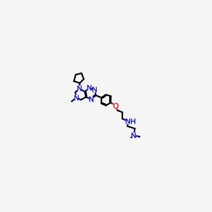 CN(C)CCNCCCOc1ccc(-c2nnc3c(n2)CN(C)CN3C2CCCC2)cc1